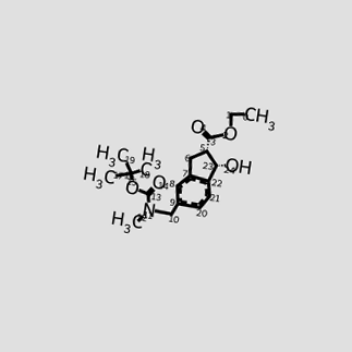 CCOC(=O)[C@H]1Cc2cc(CN(C)C(=O)OC(C)(C)C)ccc2[C@H]1O